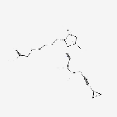 COC(=O)CCCCCC[C@@H]1[C@@H](/C=C/[C@@H](O)[C@@H](C)CC#CC2CC2)[C@H](O)C[C@@H]1OC(C)=O